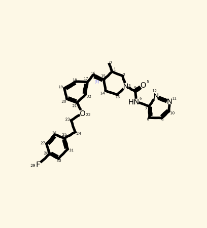 CC1CN(C(=O)Nc2cccnn2)CC/C1=C\c1cccc(OCCc2ccc(F)cc2)c1